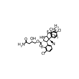 CCC(C)(C)C[C@@H]1N[C@@H](C(=O)OC[C@@H](O)CC(N)=O)[C@H](c2cccc(Cl)c2F)[C@@]1(C#N)c1ccc(Cl)cc1F